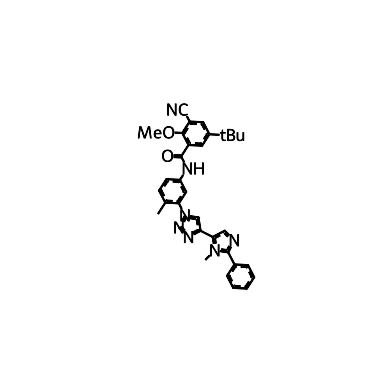 COc1c(C#N)cc(C(C)(C)C)cc1C(=O)Nc1ccc(C)c(-n2cc(-c3cnc(-c4ccccc4)n3C)nn2)c1